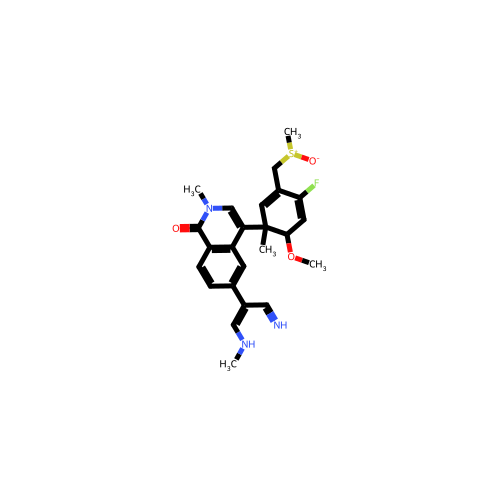 CN/C=C(\C=N)c1ccc2c(=O)n(C)cc(C3(C)C=C(C[S+](C)[O-])C(F)=CC3OC)c2c1